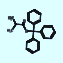 CC(C)C(=O)OC(c1ccccc1)(c1ccccc1)c1ccccc1